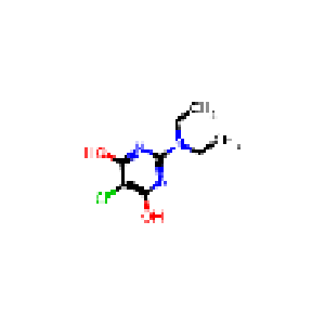 CCN(CC)c1nc(O)c(Cl)c(O)n1